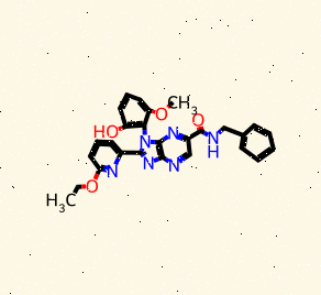 CCOC1=NC(c2nc3ncc(C(=O)NCc4ccccc4)nc3n2-c2c(O)cccc2OC)=C=C=C1